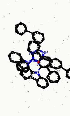 c1ccc(-c2ccc(C3NC(c4cccc(-c5ccccc5)c4)NC(n4c5ccccc5c5ccc6c7ccccc7n(-c7c(-c8ccccc8)ccc8c9ccccc9n(-c9ccccc9)c78)c6c54)N3)cc2)cc1